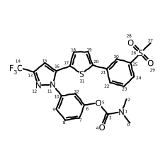 CN(C)C(=O)Oc1cccc(-n2nc(C(F)(F)F)cc2-c2ccc(-c3cccc(S(C)(=O)=O)c3)s2)c1